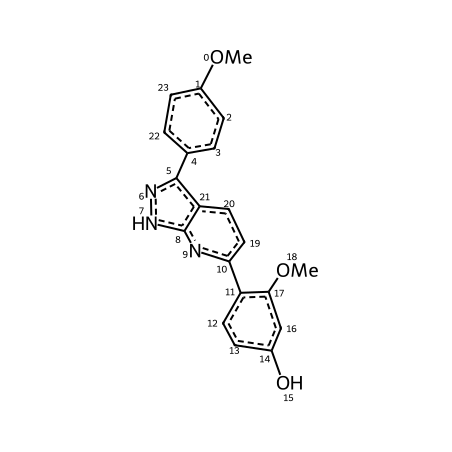 COc1ccc(-c2n[nH]c3nc(-c4ccc(O)cc4OC)ccc23)cc1